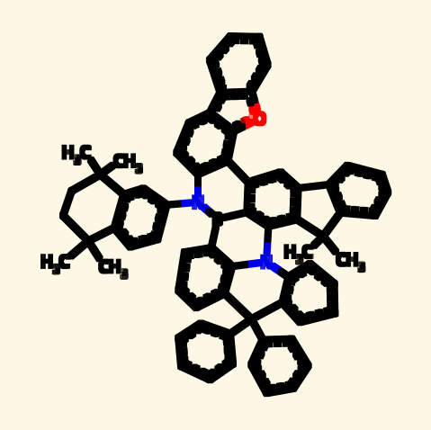 CC1(C)CCC(C)(C)c2cc(N3B4c5cccc6c5N(c5ccccc5C6(c5ccccc5)c5ccccc5)c5c4c(cc4c5C(C)(C)c5ccccc5-4)-c4c3ccc3c4oc4ccccc43)ccc21